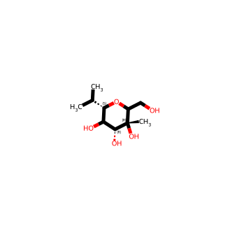 CC(C)[C@@H]1OC(CO)[C@](C)(O)[C@H](O)C1O